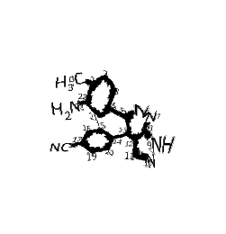 Cc1ccc(-c2nnc3[nH]ncc3c2-c2ccc(C#N)cc2)cc1N